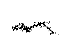 C[C@@H]1CC(F)(F)CN1C(=O)[C@@H](C)NC(=O)c1ccnc(CNC(=O)CCC(=O)NC(CSSCCOC(N)=O)C(=O)O)c1